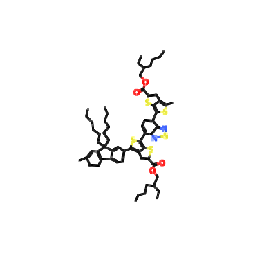 CCCCCCC1(CCCCCC)c2cc(C)ccc2-c2ccc(-c3sc(-c4ccc(-c5sc(C)c6cc(C(=O)OCC(CC)CCCC)sc56)c5nsnc45)c4sc(C(=O)OCC(CC)CCCC)cc34)cc21